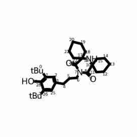 CC(C)(C)c1cc(CCCN2C(=O)C3(CCCCC3)NC3(CCCCC3)C2=O)cc(C(C)(C)C)c1O